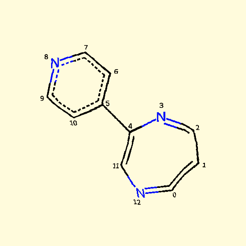 C1=CC=NC(c2ccncc2)=CN=1